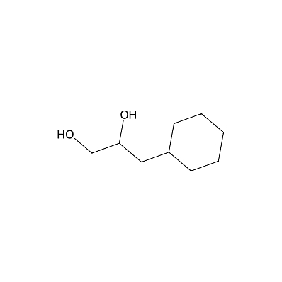 OCC(O)CC1CCCCC1